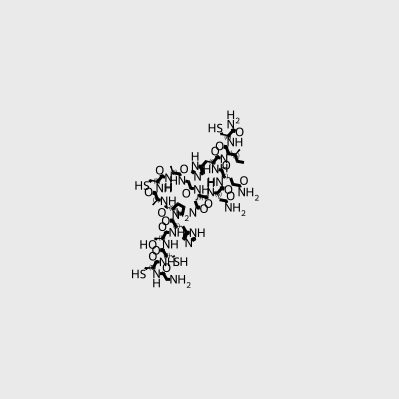 CC[C@H](C)[C@H](NC(=O)[C@H](Cc1cnc[nH]1)NC(=O)[C@H](CCC(N)=O)NC(=O)[C@H](CC(N)=O)NC(=O)[C@H](CC(N)=O)NC(=O)CNC(=O)[C@H](C)NC(=O)[C@H](CS)NC(=O)[C@H](C)NC(=O)[C@@H]1CCCN1C(=O)[C@H](Cc1cnc[nH]1)NC(=O)[C@H](CO)NC(=O)[C@H](CS)NC(=O)[C@H](CS)NC(=O)CN)C(=O)N[C@@H](CS)C(N)=O